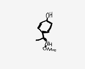 CONC(C)c1ccc(O)cc1